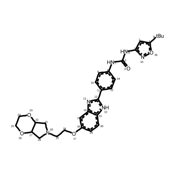 CC(C)(C)c1cc(NC(=O)Nc2ccc(-c3nc4cc(OCCN5CC6OCCOC6C5)ccc4[nH]3)cc2)no1